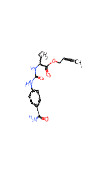 C=CCOC(=O)C(C)NC(=O)Nc1ccc(C(N)=O)cc1